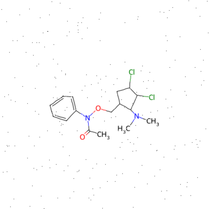 CC(=O)N(OCC1CC(Cl)C(Cl)C1N(C)C)c1ccccc1